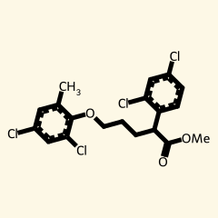 COC(=O)C(CCCOc1c(C)cc(Cl)cc1Cl)c1ccc(Cl)cc1Cl